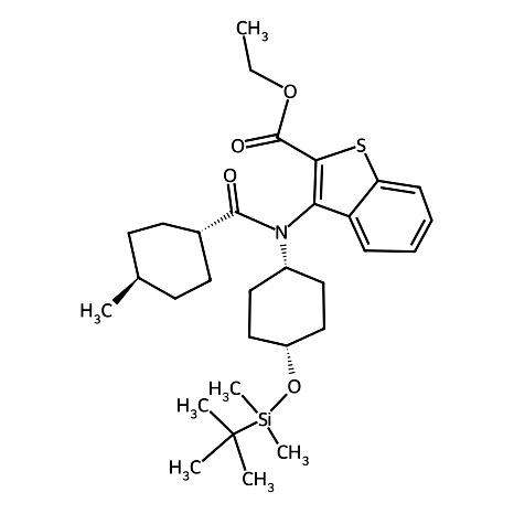 CCOC(=O)c1sc2ccccc2c1N(C(=O)[C@H]1CC[C@H](C)CC1)[C@H]1CC[C@@H](O[Si](C)(C)C(C)(C)C)CC1